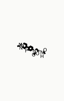 CC(=O)NC[C@H]1CN(c2ccc(-c3ccn4nc(C)nc4c3)c(F)c2)C(=O)O1